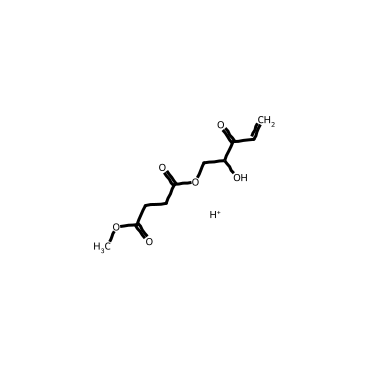 C=CC(=O)C(O)COC(=O)CCC(=O)OC.[H+]